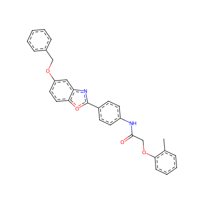 Cc1ccccc1OCC(=O)Nc1ccc(-c2nc3cc(OCc4ccccc4)ccc3o2)cc1